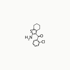 Nc1sc2c(c1C(=O)c1ccccc1Cl)CCCC2